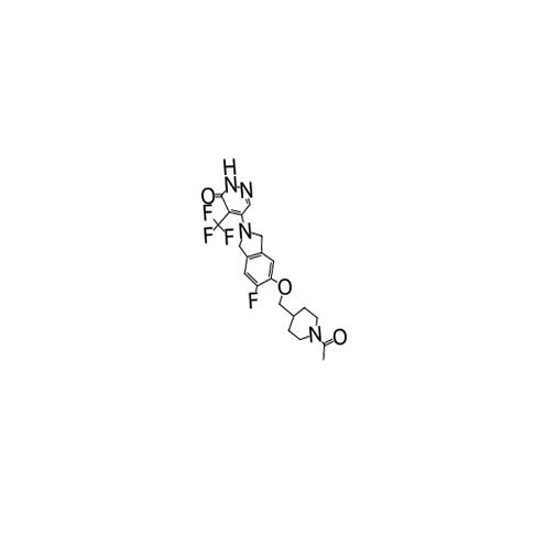 CC(=O)N1CCC(COc2cc3c(cc2F)CN(c2cn[nH]c(=O)c2C(F)(F)F)C3)CC1